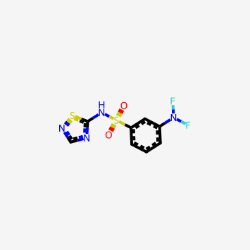 O=S(=O)(Nc1ncns1)c1cccc(N(F)F)c1